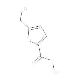 CC(C)(C)OC(=O)c1ccc(CC#N)o1